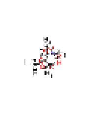 CCC1C(OC(C)=O)/C=C(/C)C(O)CC2OC2(C)CC1OC(=O)C(C)C